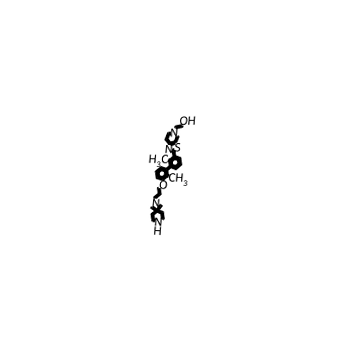 Cc1c(OCCCN2CC3(CCNCC3)C2)cccc1-c1cccc(-c2nc3c(s2)CN(CCO)CC3)c1C